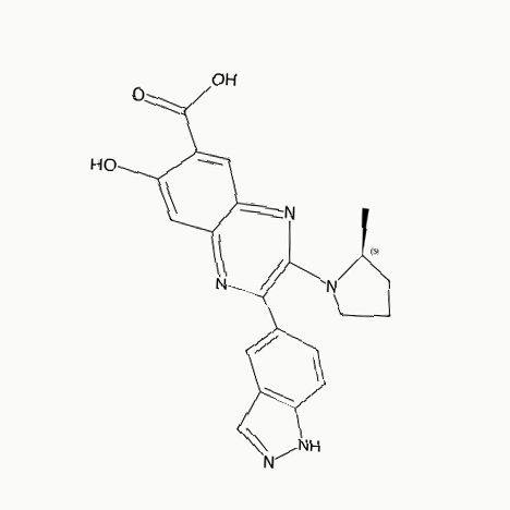 C[C@H]1CCCN1c1nc2cc(C(=O)O)c(O)cc2nc1-c1ccc2[nH]ncc2c1